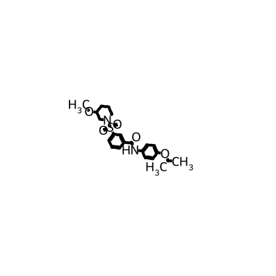 COC1CCCN(S(=O)(=O)c2cccc(C(=O)Nc3ccc(OC(C)C)cc3)c2)C1